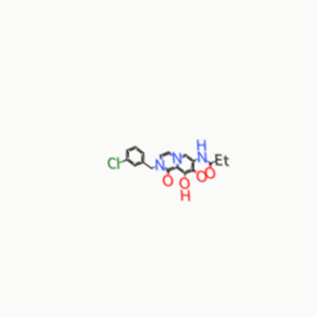 CCC(=O)Nc1cn2ccn(Cc3cccc(Cl)c3)c(=O)c2c(O)c1=O